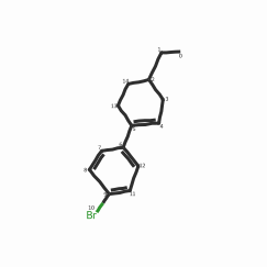 CCC1CC=C(c2ccc(Br)cc2)CC1